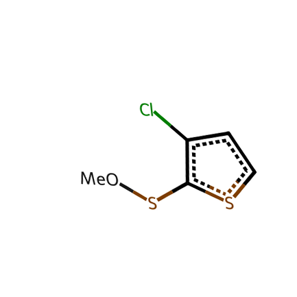 COSc1sccc1Cl